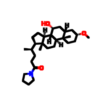 CO[C@@H]1CC[C@@]2(C)[C@@H](C1)C[C@@H](O)[C@@H]1[C@@H]2CC[C@]2(C)[C@@H]([C@H](C)CCC(=O)N3CCCC3)CC[C@@H]12